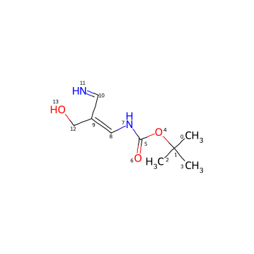 CC(C)(C)OC(=O)N/C=C(\C=N)CO